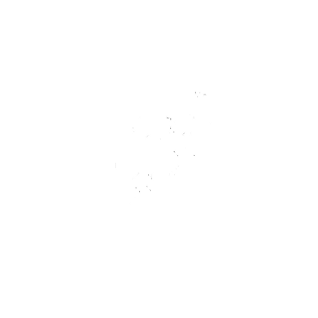 COC(=O)[C@@]1(C)CCCC[C@H]1C(=O)N1CCc2c(Cl)ccc(OCc3nnn(C)c3C(F)F)c2[C@H]1CN1CC2(CC2)CC1=O